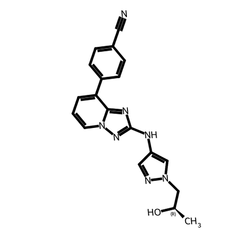 C[C@@H](O)Cn1cc(Nc2nc3c(-c4ccc(C#N)cc4)cccn3n2)cn1